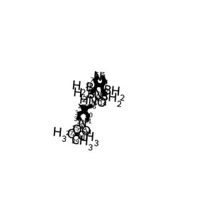 BC1(B)c2ccncc2C(B)(B)N1C(=O)NCC1CC12CCN(C(=O)OC(C)(C)C)CC2